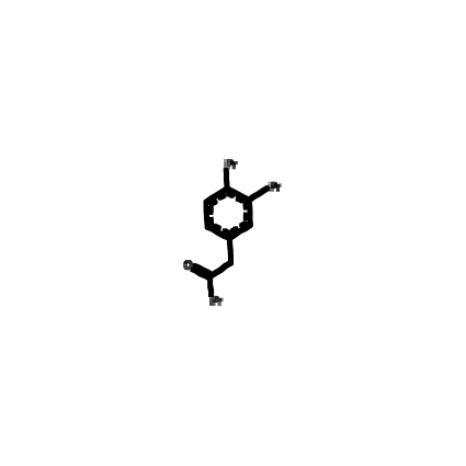 CC(C)C(=O)Cc1ccc(C(C)C)c(C(C)C)c1